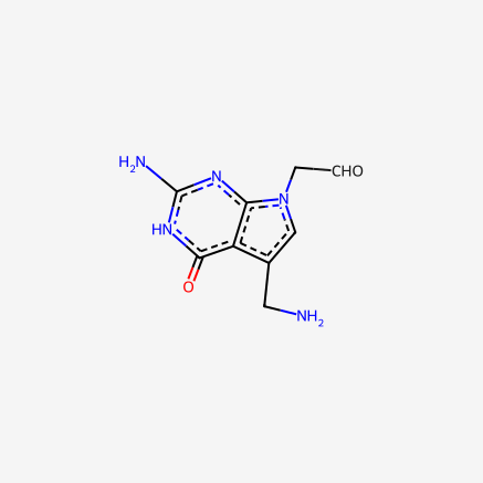 NCc1cn(CC=O)c2nc(N)[nH]c(=O)c12